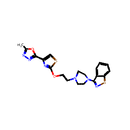 Cc1nnc(-c2csc(OCCN3CCN(c4nsc5ccccc45)CC3)n2)o1